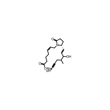 CCCC#CCC(C)C(O)/C=C/[C@H]1CCC(=O)N1C/C=C\CCCC(=O)OC